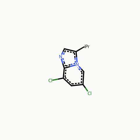 CC(C)c1cnc2c(Cl)cc(Cl)cn12